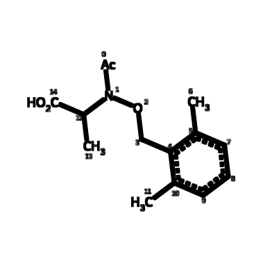 CC(=O)N(OCc1c(C)cccc1C)C(C)C(=O)O